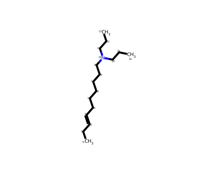 CCC=CCCCCCCN(CCC)CCC